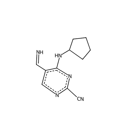 N#Cc1ncc(C=N)c(NC2CCCC2)n1